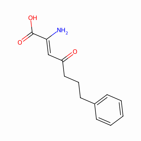 NC(=CC(=O)CCCc1ccccc1)C(=O)O